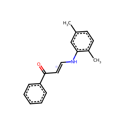 Cc1ccc(C)c(N/C=C/C(=O)c2ccccc2)c1